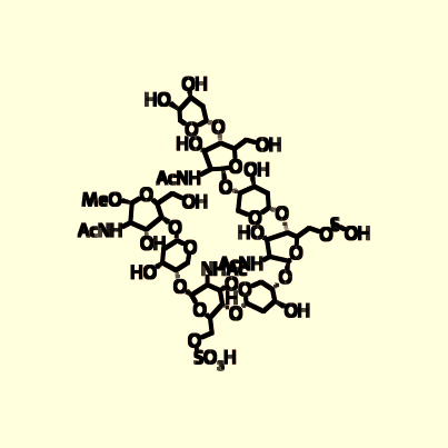 CO[C@H]1OC(CO)[C@@H](O[C@H]2C[C@H](O)[C@@H](O[C@@H]3OC(COS(=O)(=O)O)[C@@H](O[C@H]4C[C@H](O)[C@@H](O[C@@H]5OC(COSO)[C@@H](O[C@H]6C[C@H](O)[C@@H](O[C@@H]7OC(CO)[C@@H](O[C@H]8C[C@H](O)[C@H](O)CO8)[C@H](O)C7NC(C)=O)CO6)[C@H](O)C5NC(C)=O)CO4)[C@H](O)C3NC(C)=O)CO2)[C@H](O)C1NC(C)=O